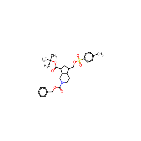 Cc1ccc(S(=O)(=O)OCC2CC(C(=O)OC(C)(C)C)C3CN(C(=O)OCc4ccccc4)CCC23)cc1